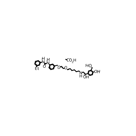 CC(=O)O.CCc1cccc(NC(=O)Nc2cccc(COCCOCCCCCCNC[C@H](O)c3ccc(O)c(CO)c3)c2)c1